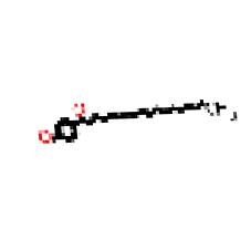 CCCCCCCCC=CCCCCCCCC(=O)c1ccc(C=O)cc1